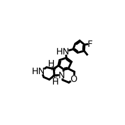 Cc1cc(Nc2cc3c4c(c2)[C@@H]2CNCC[C@@H]2N4CCOC3)ccc1F